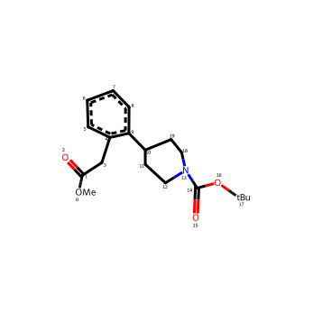 COC(=O)Cc1ccccc1C1CCN(C(=O)OC(C)(C)C)CC1